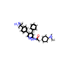 CC(=O)N(C)[C@H]1CC[C@H](CC(=O)Nc2cc(-c3ccccc3)c(-c3ccc(C(C)(C)N)cc3)cn2)CC1